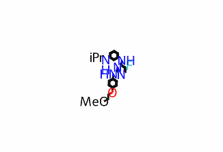 COCCOc1ccc(Nc2ncc(F)c(Nc3cccc(NC(C)C)c3)n2)cc1